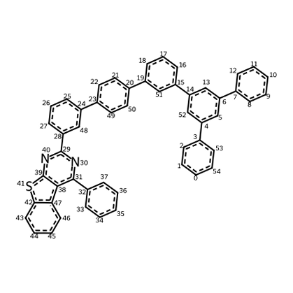 c1ccc(-c2cc(-c3ccccc3)cc(-c3cccc(-c4ccc(-c5cccc(-c6nc(-c7ccccc7)c7c(n6)sc6ccccc67)c5)cc4)c3)c2)cc1